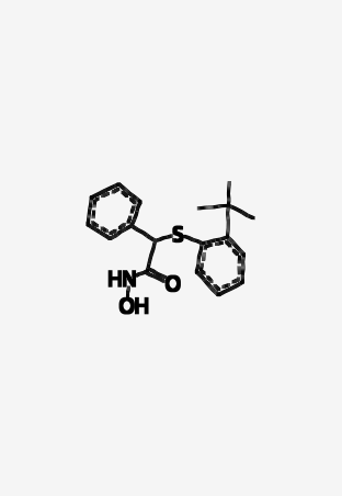 CC(C)(C)c1ccccc1SC(C(=O)NO)c1ccccc1